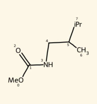 COC(=O)NCC(C)C(C)C